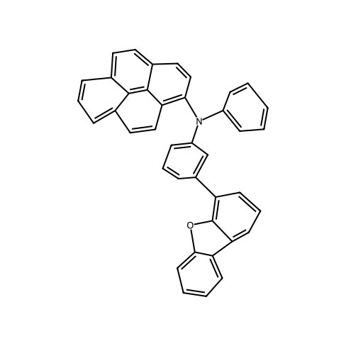 c1ccc(N(c2cccc(-c3cccc4c3oc3ccccc34)c2)c2ccc3ccc4cccc5ccc2c3c45)cc1